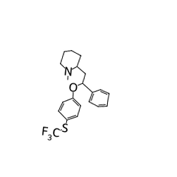 CN1CCCCC1CC(Oc1ccc(SC(F)(F)F)cc1)c1ccccc1